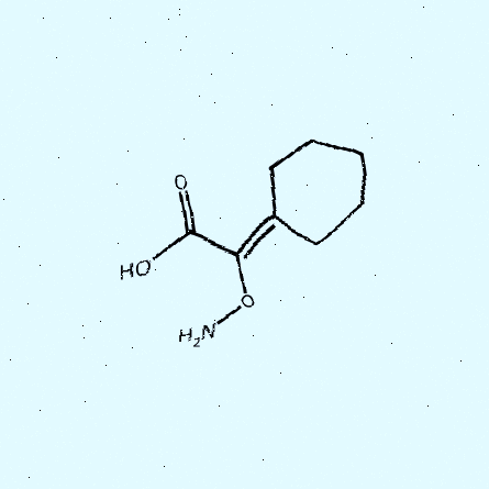 NOC(C(=O)O)=C1CCCCC1